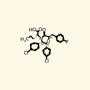 CCC[C@H](C(=O)O)N1C(=O)[C@@H](Cc2ccc(F)cc2)O[C@H](c2ccc(Cl)cc2)[C@@H]1c1ccc(Cl)cc1